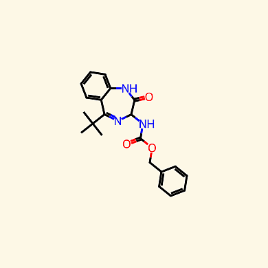 CC(C)(C)C1=NC(NC(=O)OCc2ccccc2)C(=O)Nc2ccccc21